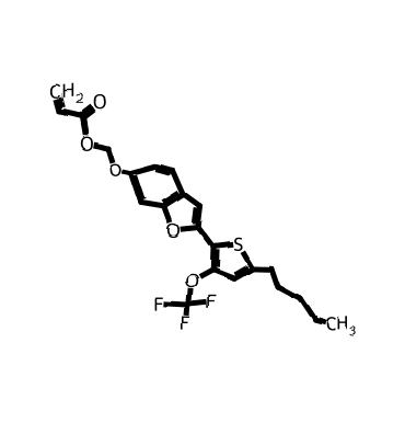 C=CC(=O)OCOc1ccc2cc(-c3sc(CCCCC)cc3OC(F)(F)F)oc2c1